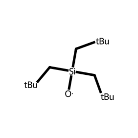 CC(C)(C)C[Si]([O])(CC(C)(C)C)CC(C)(C)C